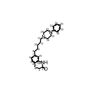 O=C1CSc2ccc(CCCCCN3CCN(c4ccccc4)CC3)cc2N1